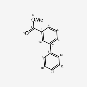 COC(=O)c1cccc(-c2[c]cccc2)c1